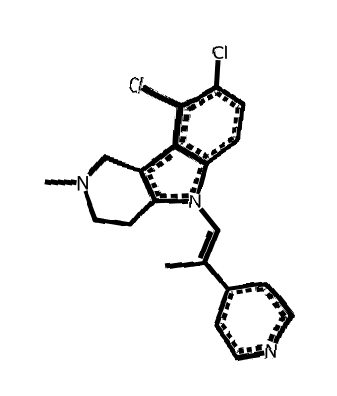 C/C(=C\n1c2c(c3c(Cl)c(Cl)ccc31)CN(C)CC2)c1ccncc1